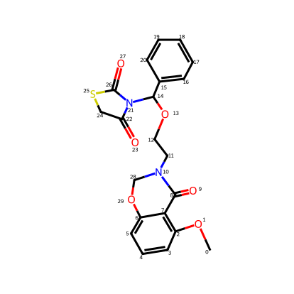 COc1cccc2c1C(=O)N(CCOC(c1ccccc1)N1C(=O)CSC1=O)CO2